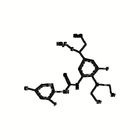 COCC(CC(=O)O)c1cc(F)c(N(CC(C)C)CC(C)C)c(NC(=O)Nc2ccc(Cl)cc2F)c1